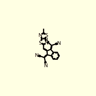 Cc1nc2sc(C=C3C(=C(C#N)C#N)c4ccccc4C3=C(C#N)C#N)nc2s1